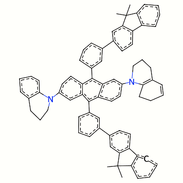 CC1(C)c2ccccc2-c2ccc(-c3cccc(-c4c5ccc(N6CCCc7ccccc76)cc5c(-c5cccc(-c6ccc7c(c6)C(C)(C)c6ccccc6-7)c5)c5ccc(N6CCCC7=C6CCC=C7)cc45)c3)cc21